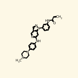 C=CC(=O)Nc1cccc(-n2ncc3cnc(Nc4ccc(N5CCN(C)CC5)cc4)cc32)c1